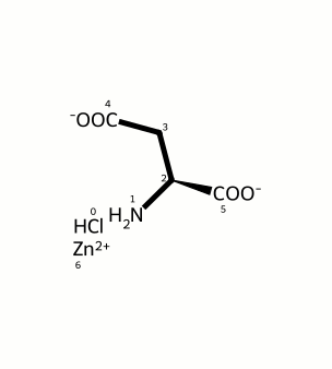 Cl.N[C@@H](CC(=O)[O-])C(=O)[O-].[Zn+2]